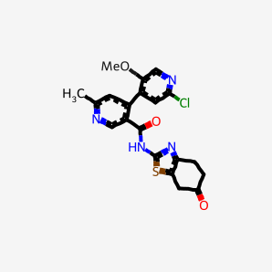 COc1cnc(Cl)cc1-c1cc(C)ncc1C(=O)Nc1nc2c(s1)CC(=O)CC2